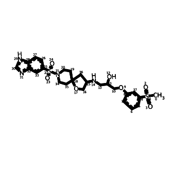 CS(=O)(=O)c1cccc(OCC(O)CNC2COC3(CCN(S(=O)(=O)c4ccc5[nH]cnc5c4)CC3)C2)c1